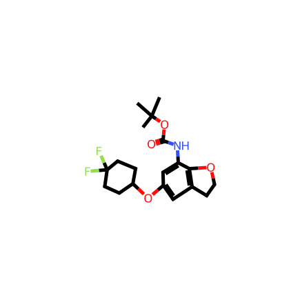 CC(C)(C)OC(=O)Nc1cc(OC2CCC(F)(F)CC2)cc2c1OCC2